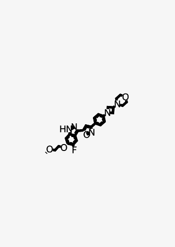 COCCOc1cc2[nH]nc(-c3cc(-c4ccc(N5CC(N6CCOCC6)C5)cc4)no3)c2cc1F